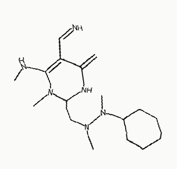 C=C1NC(CN(C)N(C)C2CCCCC2)N(C)C(NC)=C1C=N